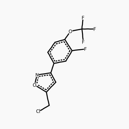 Fc1cc(-c2cc(CCl)on2)ccc1OC(F)(F)F